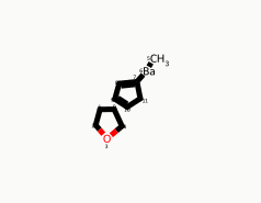 C1CCOC1.[CH3][Ba][C]1=CC=CC1